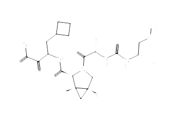 CC(C)(C)OC[C@@H](NC(=O)N[C@H](C(=O)N1C[C@@H]2C[C@@H]2[C@H]1C(=O)NC(CC1CCC1)C(=O)C(N)=O)C(C)(C)C)C(C)(C)C